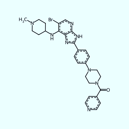 CN1CCC(Nc2c(Br)cnc3[nH]c(-c4ccc(N5CCN(C(=O)c6ccncc6)CC5)cc4)nc23)CC1